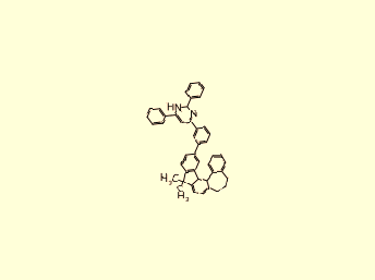 CC1(C)C2=CC=C3CCCc4ccccc4C3C2c2cc(-c3cccc(C4=NC(c5ccccc5)NC(C5=CCCC=C5)=C4)c3)ccc21